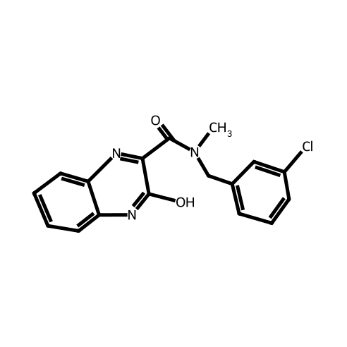 CN(Cc1cccc(Cl)c1)C(=O)c1nc2ccccc2nc1O